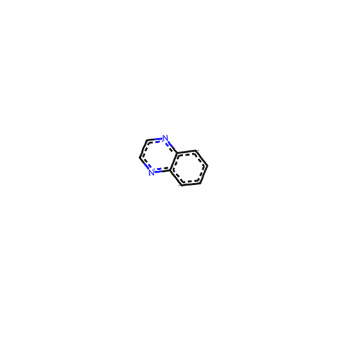 [c]1cc[c]c2nccnc12